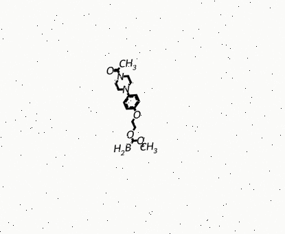 BC(OC)OCCOc1ccc(N2CCN(C(C)=O)CC2)cc1